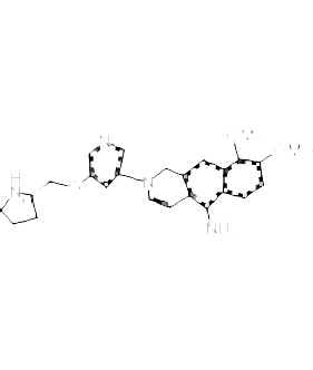 COc1ccc2c(N)c3c(cc2c1OC)CN(c1cncc(OC[C@H]2CCCN2)c1)C=C3